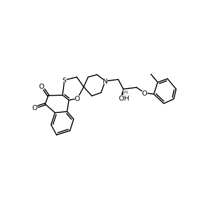 Cc1ccccc1OC[C@@H](O)CN1CCC2(CC1)CSC1=C(O2)c2ccccc2C(=O)C1=O